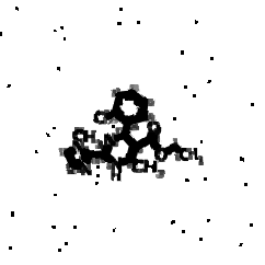 CCOC(=O)C1=C(C)NC(c2nccn2C)=NC1c1ccccc1Cl